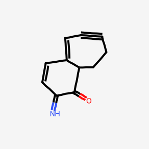 N=C1C=CC2=CC#CCCC2C1=O